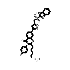 O=C(O)CCCCc1nc2cc(-c3cc(CS(=O)(=O)c4nc5ccccc5[nH]4)on3)ccc2c(=O)n1-c1ccc(F)cc1